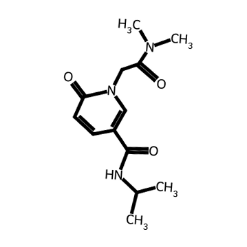 CC(C)NC(=O)c1ccc(=O)n(CC(=O)N(C)C)c1